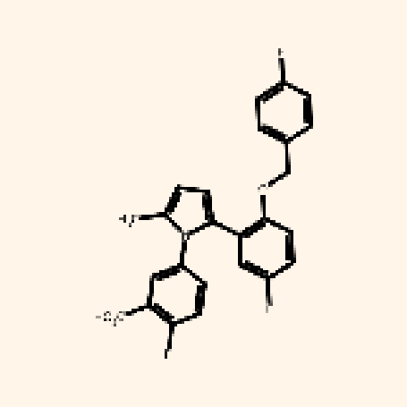 Cc1ccc(-c2cc(F)ccc2OCc2ccc(F)cc2)n1-c1ccc(F)c(C(=O)O)c1